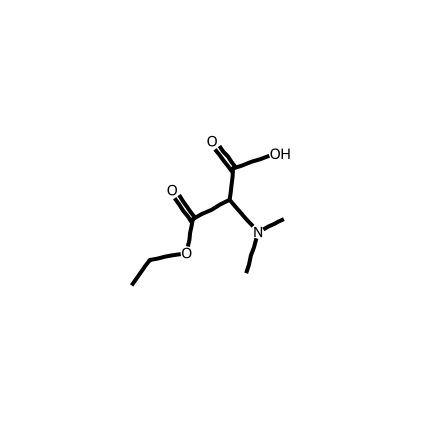 CCOC(=O)C(C(=O)O)N(C)C